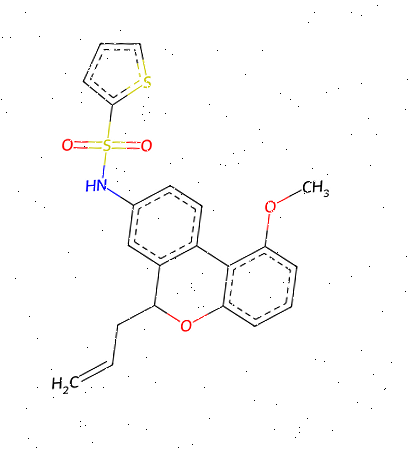 C=CCC1Oc2cccc(OC)c2-c2ccc(NS(=O)(=O)c3cccs3)cc21